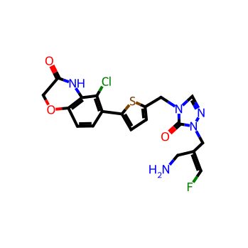 NC/C(=C\F)Cn1ncn(Cc2ccc(-c3ccc4c(c3Cl)NC(=O)CO4)s2)c1=O